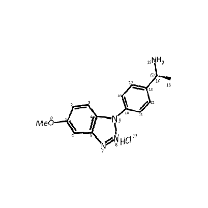 COc1ccc2c(c1)nnn2-c1ccc([C@H](C)N)cc1.Cl